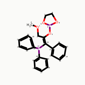 COCC(OP1OCCO1)=C(c1ccccc1)P(c1ccccc1)c1ccccc1